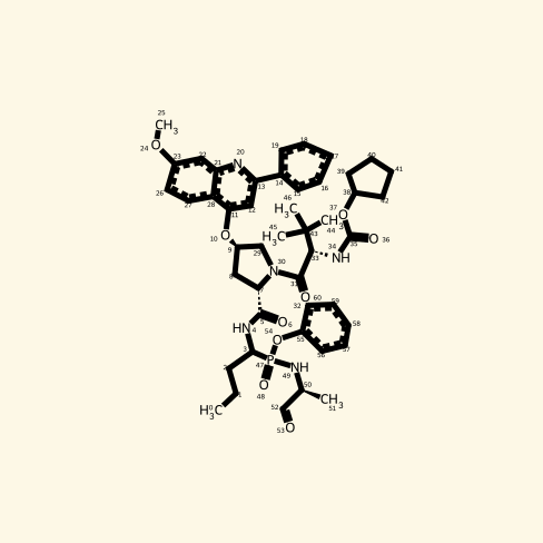 CCCC(NC(=O)[C@@H]1C[C@@H](Oc2cc(-c3ccccc3)nc3cc(OC)ccc23)CN1C(=O)[C@@H](NC(=O)OC1CCCC1)C(C)(C)C)P(=O)(N[C@@H](C)C=O)Oc1ccccc1